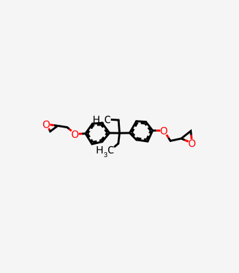 CCC(CC)(c1ccc(OCC2CO2)cc1)c1ccc(OCC2CO2)cc1